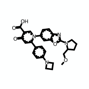 COCC1CCCN1c1nc2ccc(-n3cc(C(=O)O)c(=O)cc3-c3ccc(N4CCC4)cc3)cc2o1